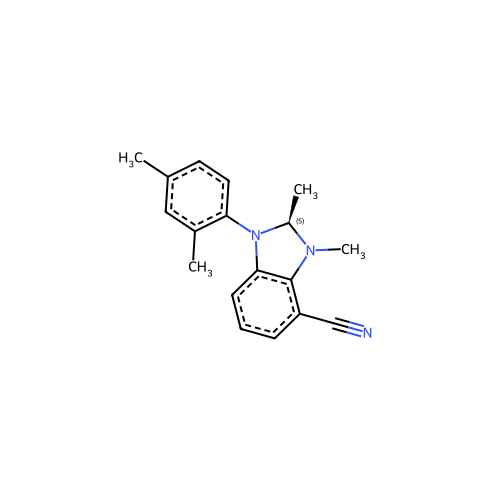 Cc1ccc(N2c3cccc(C#N)c3N(C)[C@@H]2C)c(C)c1